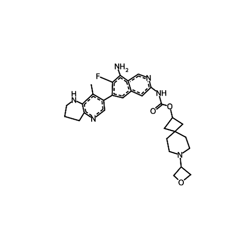 Cc1c(-c2cc3cc(NC(=O)OC4CC5(CCN(C6COC6)CC5)C4)ncc3c(N)c2F)cnc2c1NCCC2